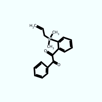 C=CC[N+](C)(C)c1ccccc1C(=O)C(=O)c1ccccc1